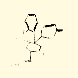 CC(=O)NCC1CN(C(=O)O)C(c2ccccc2F)(C2N=CC(=O)O2)CN1